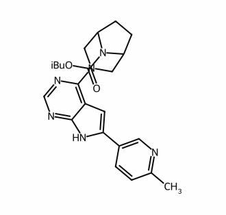 Cc1ccc(-c2cc3c(N4CC5CCC(C4)N5C(=O)OCC(C)C)ncnc3[nH]2)cn1